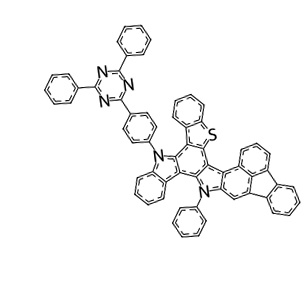 c1ccc(-c2nc(-c3ccccc3)nc(-c3ccc(-n4c5ccccc5c5c4c4c6ccccc6sc4c4c6c7cccc8c7c(cc6n(-c6ccccc6)c45)-c4ccccc4-8)cc3)n2)cc1